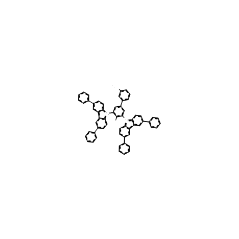 N#Cc1cccc(-c2cc(-n3c4ccc(-c5ccccc5)cc4c4cc(-c5ccccc5)ccc43)c(C(F)(F)F)c(-n3c4ccc(-c5ccccc5)cc4c4cc(-c5ccccc5)ccc43)c2)c1